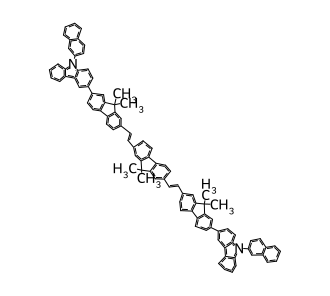 CC1(C)c2cc(/C=C/c3ccc4c(c3)C(C)(C)c3cc(-c5ccc6c(c5)c5ccccc5n6-c5ccc6ccccc6c5)ccc3-4)ccc2-c2ccc(/C=C/c3ccc4c(c3)C(C)(C)c3cc(-c5ccc6c(c5)c5ccccc5n6-c5ccc6ccccc6c5)ccc3-4)cc21